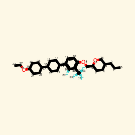 CCCC1CCC(COc2ccc(C3CCC(C4CCC(OCC)CC4)CC3)c(F)c2C(F)(F)F)OC1